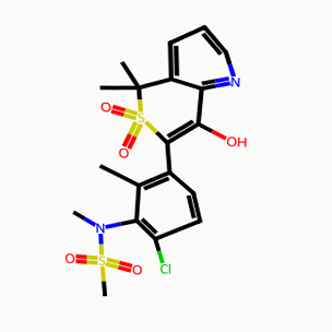 Cc1c(C2=C(O)c3ncccc3C(C)(C)S2(=O)=O)ccc(Cl)c1N(C)S(C)(=O)=O